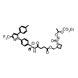 CCOC(=O)OC(C)ON=[N+]([O-])N1CC[C@H]1COC(=O)CCC(=O)NS(=O)(=O)c1ccc(-n2nc(C(F)(F)F)cc2-c2ccc(C)cc2)cc1